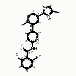 Cc1csc(-c2ccc(C)c(-c3ccc(NC(=O)c4c(F)cccc4F)nc3)c2)n1